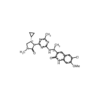 COc1cc2[nH]c(=O)c([C@H](C)Nc3nc(C)nc(N4C(=O)N(C)C[C@@H]4C4CC4)n3)cc2cc1Cl